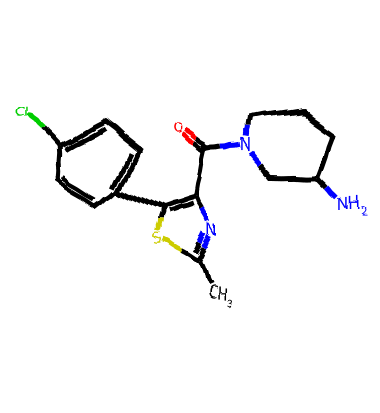 Cc1nc(C(=O)N2CCCC(N)C2)c(-c2ccc(Cl)cc2)s1